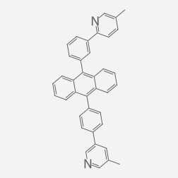 Cc1ccc(-c2cccc(-c3c4ccccc4c(-c4ccc(-c5cncc(C)c5)cc4)c4ccccc34)c2)nc1